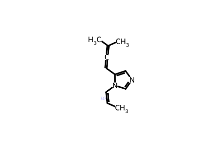 C/C=C\n1cncc1C=C=C(C)C